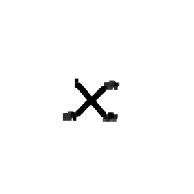 CCCC(I)(CCC)CCC